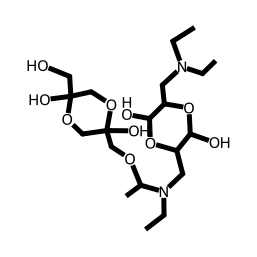 CCN(CC)CC1OC(O)C(CN(CC)C(C)OCC2(O)COC(O)(CO)CO2)OC1O